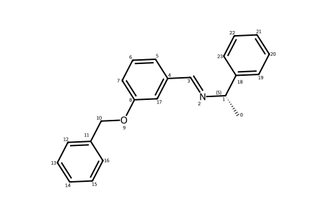 C[C@H](N=Cc1cccc(OCc2ccccc2)c1)c1ccccc1